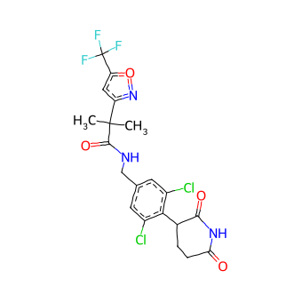 CC(C)(C(=O)NCc1cc(Cl)c(C2CCC(=O)NC2=O)c(Cl)c1)c1cc(C(F)(F)F)on1